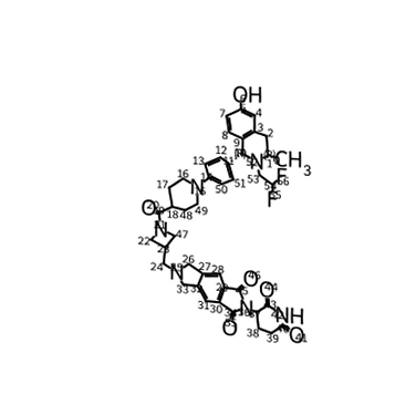 C[C@@H]1Cc2cc(O)ccc2[C@@H](c2ccc(N3CCC(C(=O)N4CC(CN5Cc6cc7c(cc6C5)C(=O)N(C5CCC(=O)NC5=O)C7=O)C4)CC3)cc2)N1CC(F)F